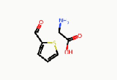 NCC(=O)O.O=Cc1cccs1